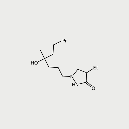 [CH2]CC1CN(CCCC(C)(O)CCC(C)C)NC1=O